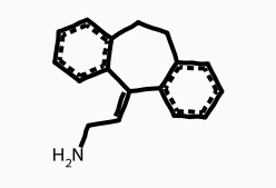 NCC=C1c2ccccc2CCc2ccccc21